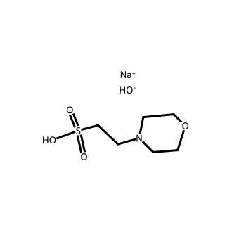 O=S(=O)(O)CCN1CCOCC1.[Na+].[OH-]